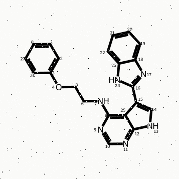 c1ccc(OCCNc2ncnc3[nH]cc(-c4nc5ccccc5[nH]4)c23)cc1